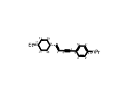 CCCc1ccc(C#CC=C[C@H]2CC[C@H](CC)CC2)cc1